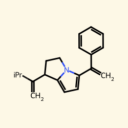 C=C(c1ccccc1)c1ccc2n1CCC2C(=C)C(C)C